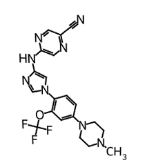 CN1CCN(c2ccc(-n3cnc(Nc4cnc(C#N)cn4)c3)c(OC(F)(F)F)c2)CC1